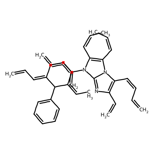 C=C/C=C\C(=C/C)C(C(/C=C\C(=C)n1c(/C=C\C)c(/C=C\C)n2c(/C=C\C=C)c(C=C)nc12)=C/C=C)c1ccccc1